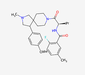 COc1ccc(C2CN(C)CC23CCN(C(=O)[C@H](NC(=O)c2cc(C)ccc2F)C(C)C)CC3)cc1